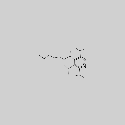 CCCCCCC(C)c1c(C(C)C)cnc(C(C)C)c1C(C)C